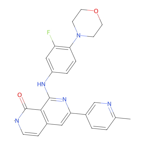 Cc1ccc(-c2cc3c(c(Nc4ccc(N5CCOCC5)c(F)c4)n2)C(=O)[N]C=C3)cn1